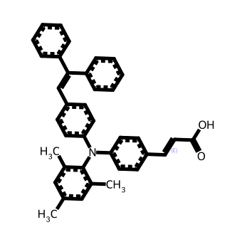 Cc1cc(C)c(N(c2ccc(C=C(c3ccccc3)c3ccccc3)cc2)c2ccc(/C=C/C(=O)O)cc2)c(C)c1